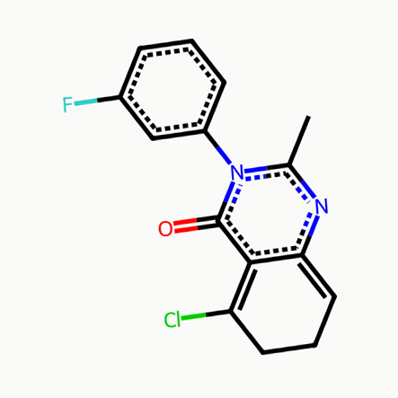 Cc1nc2c(c(=O)n1-c1cccc(F)c1)=C(Cl)CCC=2